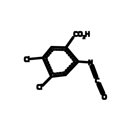 O=C=Nc1cc(Cl)c(Cl)cc1C(=O)O